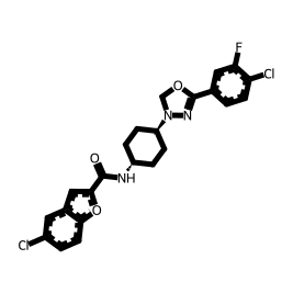 O=C(N[C@H]1CC[C@H](N2COC(c3ccc(Cl)c(F)c3)=N2)CC1)c1cc2cc(Cl)ccc2o1